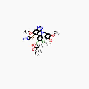 CC(C)(C)C(=O)O.COc1ccc(CN(c2ccc(F)c(Cl)c2)c2ncnc3cc(OC)c(SC4CNC4)cc23)cc1OC